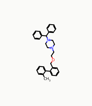 Cc1ccccc1-c1ccccc1COCCN1CCN(C(c2ccccc2)c2ccccc2)CC1